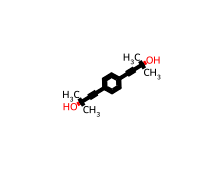 CC(C)(O)C#Cc1ccc(C#CC(C)(C)O)cc1